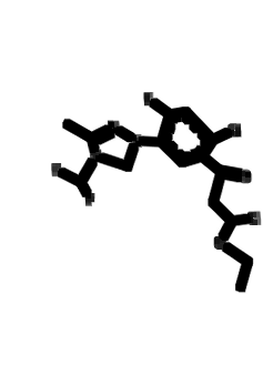 CCOC(Cl)CC(=O)c1cc(N2CN(C(F)F)C(C)=N2)c(F)cc1Cl